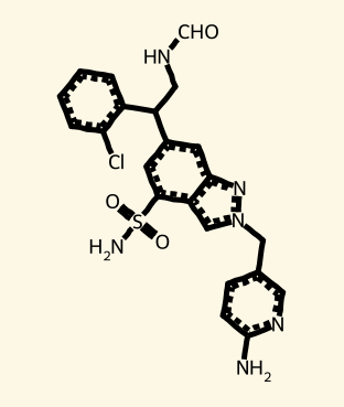 Nc1ccc(Cn2cc3c(S(N)(=O)=O)cc(C(CNC=O)c4ccccc4Cl)cc3n2)cn1